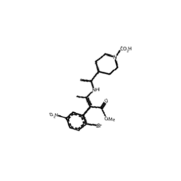 COC(=O)C(=C(C)NC(C)C1CCN(C(=O)O)CC1)c1cc([N+](=O)[O-])ccc1Br